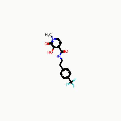 Cn1ccc(C(=O)NCCc2ccc(C(F)(F)F)cc2)c(O)c1=O